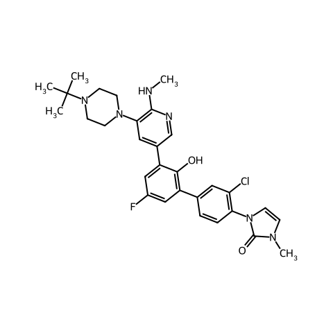 CNc1ncc(-c2cc(F)cc(-c3ccc(-n4ccn(C)c4=O)c(Cl)c3)c2O)cc1N1CCN(C(C)(C)C)CC1